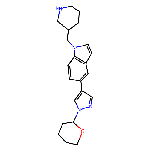 c1cc2c(ccn2CC2CCCNC2)cc1-c1cnn(C2CCCCO2)c1